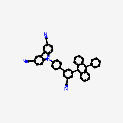 N#Cc1cc(-c2ccc(-n3c4ccc(C#N)cc4c4cc(C#N)ccc43)cc2)cc(-c2c3ccccc3c(-c3ccccc3)c3ccccc23)c1